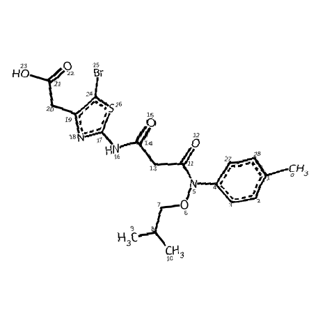 Cc1ccc(N(OCC(C)C)C(=O)CC(=O)Nc2nc(CC(=O)O)c(Br)s2)cc1